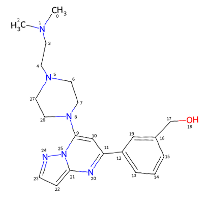 CN(C)CCN1CCN(c2cc(-c3cccc(CO)c3)nc3ccnn23)CC1